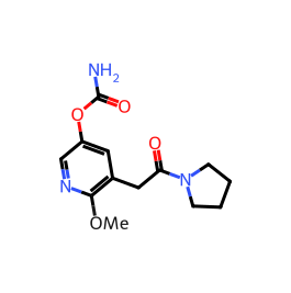 COc1ncc(OC(N)=O)cc1CC(=O)N1CCCC1